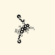 C=C(C)[C@@H]1CCC2C1C1CCC3[C@@]4(C)CC[C@H](OC(=O)CCC[N+]5=CC=CCC5)C(C)(C)C4CC[C@@]3(C)[C@]1(C)C[C@@H]2COC(=O)CCC[n+]1ccccc1